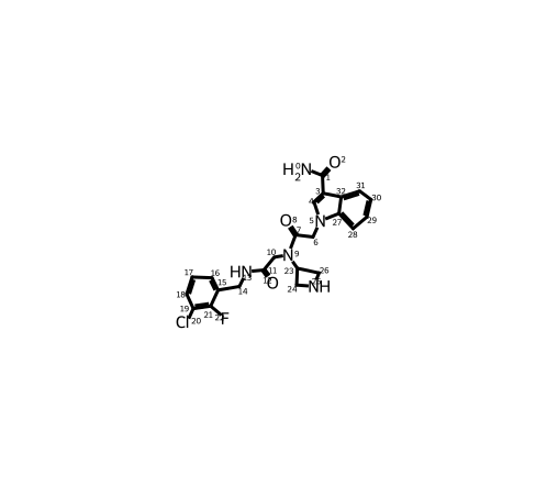 NC(=O)c1cn(CC(=O)N(CC(=O)NCc2cccc(Cl)c2F)C2CNC2)c2ccccc12